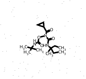 CCC(C)(CC)NC(=O)N(OC(=O)NC(C)(C)C)C(=O)C1CC1